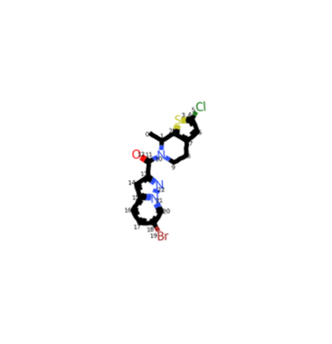 CC1c2sc(Cl)cc2CCN1C(=O)c1cc2ccc(Br)cn2n1